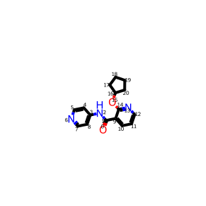 O=C(Nc1ccncc1)c1cccnc1OC1CCCC1